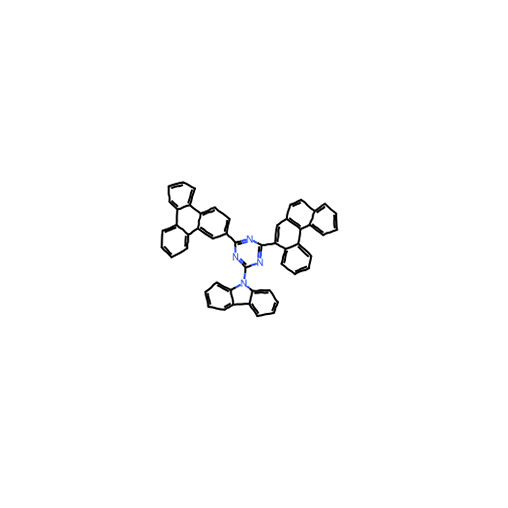 c1ccc2c(c1)ccc1cc(-c3nc(-c4ccc5c6ccccc6c6ccccc6c5c4)nc(-n4c5ccccc5c5ccccc54)n3)c3ccccc3c12